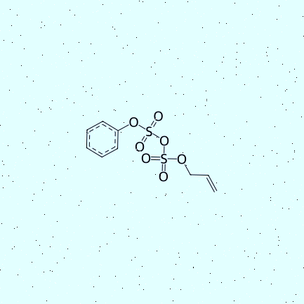 C=CCOS(=O)(=O)OS(=O)(=O)Oc1ccccc1